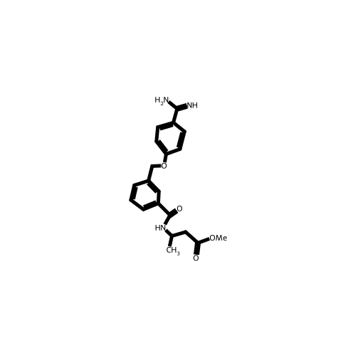 COC(=O)CC(C)NC(=O)c1cccc(COc2ccc(C(=N)N)cc2)c1